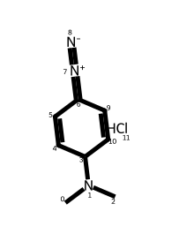 CN(C)C1C=CC(=[N+]=[N-])C=C1.Cl